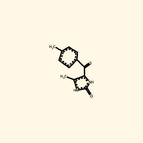 Cc1ccc(C(=S)c2[nH]c(=O)[nH]c2C)cc1